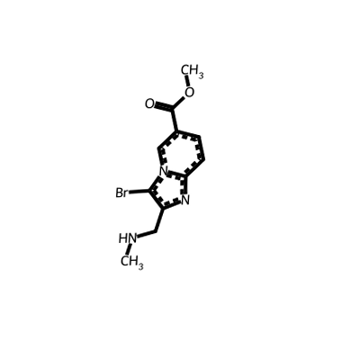 CNCc1nc2ccc(C(=O)OC)cn2c1Br